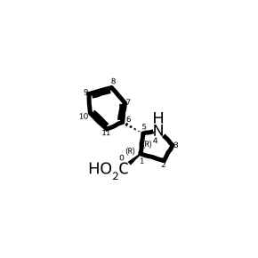 O=C(O)[C@@H]1CCN[C@H]1c1ccccc1